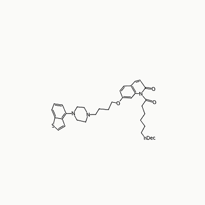 CCCCCCCCCCCCCCCC(=O)n1c(=O)ccc2ccc(OCCCCN3CCN(c4cccc5sccc45)CC3)cc21